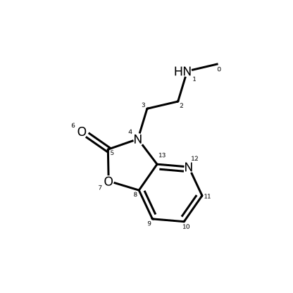 CNCCn1c(=O)oc2cccnc21